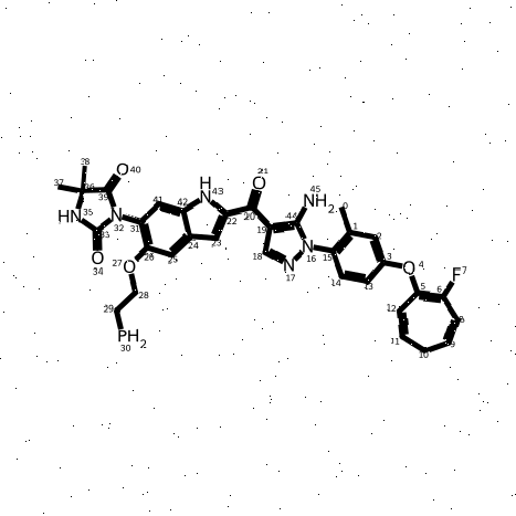 Cc1cc(OC2=C(F)C=CCC=C2)ccc1-n1ncc(C(=O)c2cc3cc(OCCP)c(N4C(=O)NC(C)(C)C4=O)cc3[nH]2)c1N